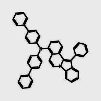 c1ccc(-c2ccc(N(c3ccc(-c4ccccc4)cc3)c3cccc4c3ccn3c5ccccc5c(-c5ccccc5)c43)cc2)cc1